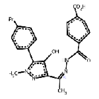 C/C(=N/NC(=O)c1ccc(C(=O)O)cc1)c1nn(C)c(-c2ccc(C(C)C)cc2)c1O